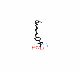 CCCCCCCCC1CCC(c2c[nH]c(C(=O)O)c2F)CC1